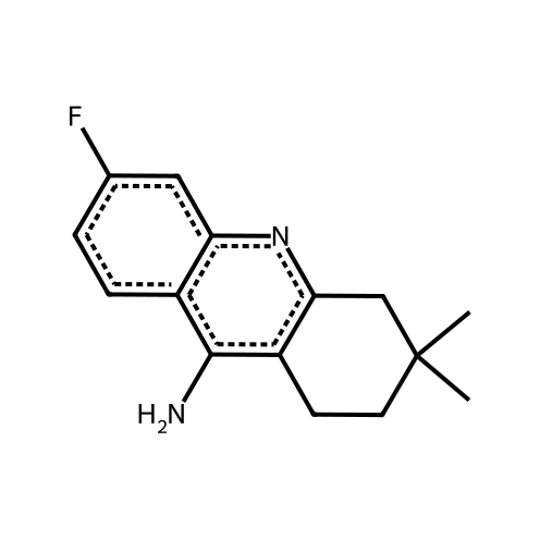 CC1(C)CCc2c(nc3cc(F)ccc3c2N)C1